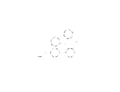 C=CCc1ccc(-c2cccc(P(=O)(O)O)c2C2c3ccccc3-c3ccccc32)c(OC)c1